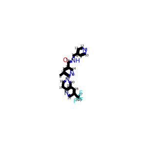 Cc1cc(C(=O)NCc2ccncc2)cnc1N1CCc2ncc(C(F)(F)F)cc2C1